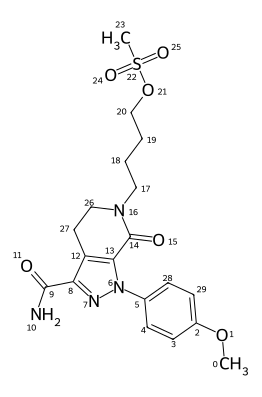 COc1ccc(-n2nc(C(N)=O)c3c2C(=O)N(CCCCOS(C)(=O)=O)CC3)cc1